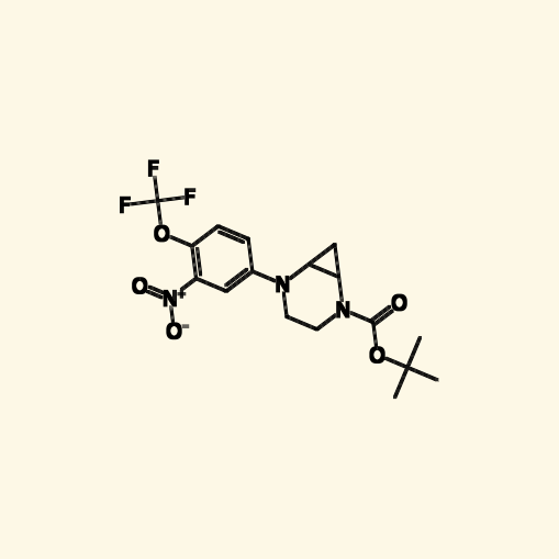 CC(C)(C)OC(=O)N1CCN(c2ccc(OC(F)(F)F)c([N+](=O)[O-])c2)C2CC21